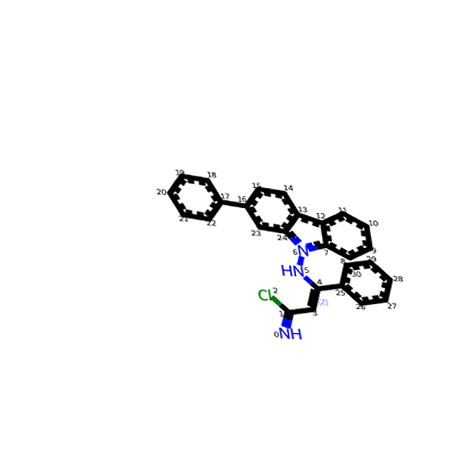 N=C(Cl)/C=C(\Nn1c2ccccc2c2ccc(-c3ccccc3)cc21)c1ccccc1